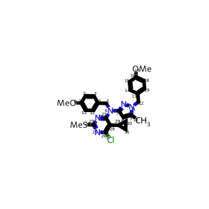 COc1ccc(CN(c2cc(C)n(Cc3ccc(OC)cc3)n2)c2nc(SC)nc(Cl)c2C2CC2)cc1